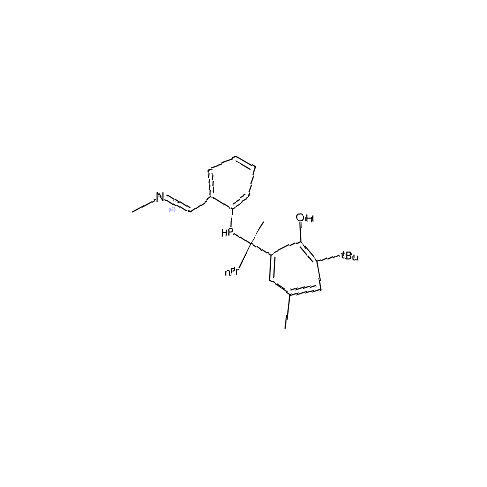 CCCC(C)(Pc1ccccc1/C=N/C)c1cc(C)cc(C(C)(C)C)c1O